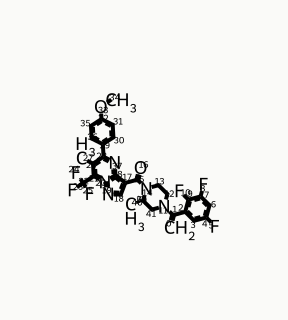 C=C(c1cc(F)cc(F)c1F)N1CCN(C(=O)c2cnn3c(C(F)(F)F)c(C)c(-c4ccc(OC)cc4)nc23)[C@H](C)C1